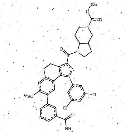 COc1cc2c(cc1-c1cncc(C(N)=O)c1)-c1c(c(C(=O)N3CCC4CN(C(=O)OC(C)(C)C)CCC43)nn1-c1cc(Cl)cc(Cl)c1)CC2